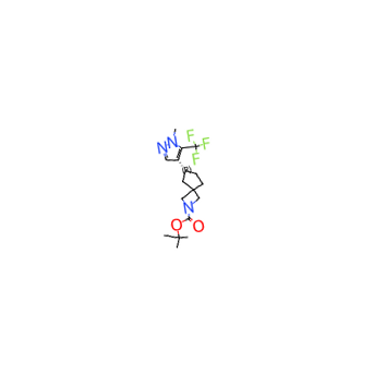 Cn1ncc([C@@H]2CCC3(C2)CN(C(=O)OC(C)(C)C)C3)c1C(F)(F)F